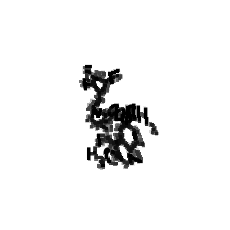 COc1ccc2ncc(C)c(C(F)CCC3(CC(=O)O)CCN(CC#Cc4cc(F)cc(F)c4F)CC3)c2c1